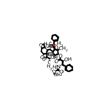 CC(=O)O[C@@]12COC1C[C@H](O)[C@@](C)(C(=O)[C@@H](C)O)[C@@H]2[C@H](OC(=O)c1ccccc1)[C@]1(O)C[C@H](OC(=O)[C@H](O)[C@@H](NC(=O)OC(C)(C)C)c2ccccc2)C(C)C1=C(C)C